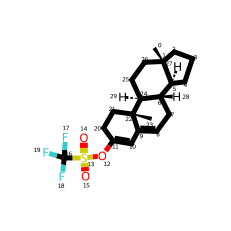 C[C@@]12CCC[C@H]1[C@@H]1CC=C3C=C(OS(=O)(=O)C(F)(F)F)CC[C@]3(C)[C@H]1CC2